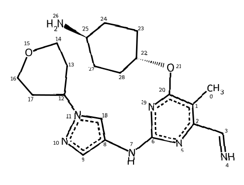 Cc1c(C=N)nc(Nc2cnn(C3CCOCC3)c2)nc1O[C@H]1CC[C@H](N)CC1